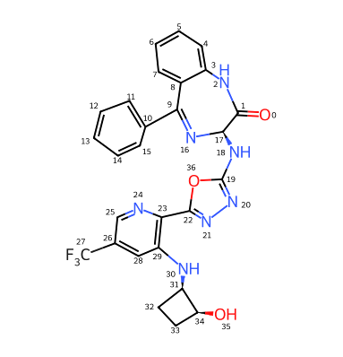 O=C1Nc2ccccc2C(c2ccccc2)=N[C@@H]1Nc1nnc(-c2ncc(C(F)(F)F)cc2N[C@@H]2CC[C@@H]2O)o1